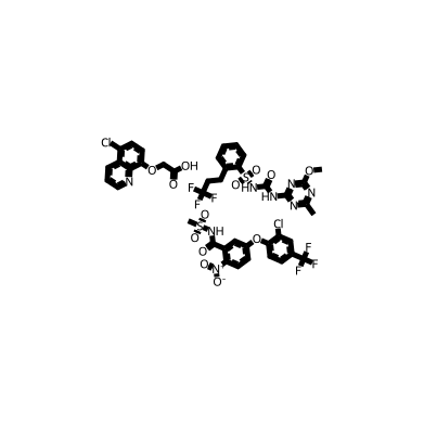 COc1nc(C)nc(NC(=O)NS(=O)(=O)c2ccccc2CCC(F)(F)F)n1.CS(=O)(=O)NC(=O)c1cc(Oc2ccc(C(F)(F)F)cc2Cl)ccc1[N+](=O)[O-].O=C(O)COc1ccc(Cl)c2cccnc12